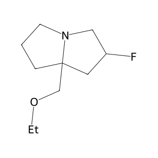 CCOCC12CCCN1CC(F)C2